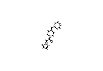 O=C(Cn1cccn1)N1CCC(CN2CCOCC2)CC1